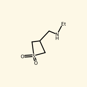 [CH2]CNCC1CS(=O)(=O)C1